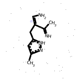 CC(=N)/C(=C\N)Cc1cc(C)n[nH]1